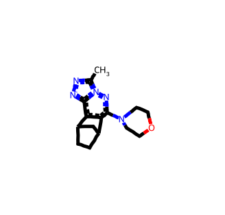 Cc1nnc2c3c(c(N4CCOCC4)nn12)C1CCC3C1